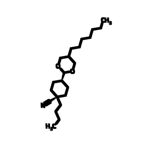 CCCCCCCC1COC([C@H]2CC[C@](C#N)(CCCC)CC2)OC1